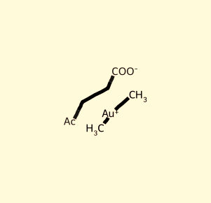 CC(=O)CCC(=O)[O-].[CH3][Au+][CH3]